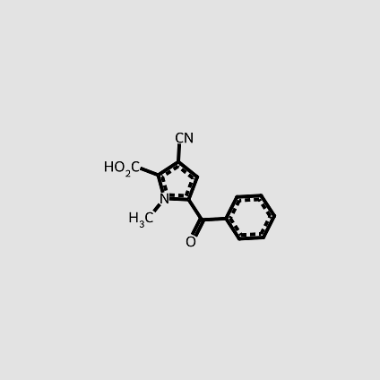 Cn1c(C(=O)c2ccccc2)cc(C#N)c1C(=O)O